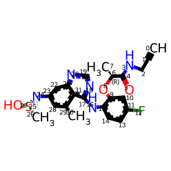 C#CCNC(=O)[C@@H](C)Oc1cc(F)ccc1Nc1ncnc2cc(/N=S(\C)O)cc(C)c12